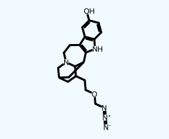 [N-]=[N+]=NCOCCC1CC2CC3c4[nH]c5ccc(O)cc5c4CCN(C2)C13